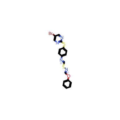 Brc1cnc(Sc2ccc(/N=C/S/N=C/Oc3ccccc3)cc2)nc1